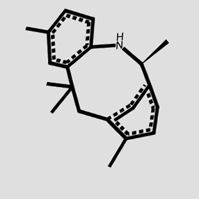 Cc1ccc2c(c1)C(C)(C)Cc1cc(ccc1C)[C@H](C)N2